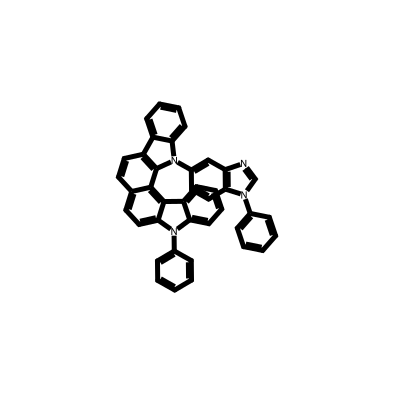 c1ccc(-n2cnc3cc(-n4c5ccccc5c5ccc6ccc7c(c8ccccc8n7-c7ccccc7)c6c54)ccc32)cc1